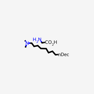 CCCCCCCCCCCCCCCCCCN(C)C.NCC(=O)O